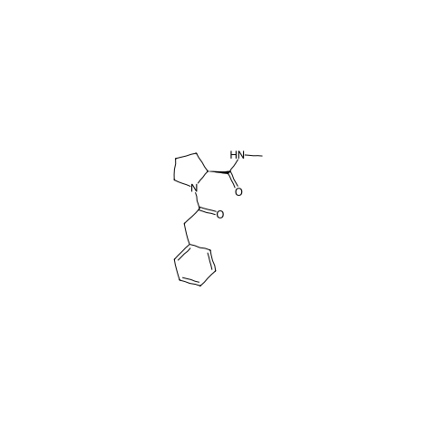 CNC(=O)[C@@H]1CCCN1C(=O)Cc1ccccc1